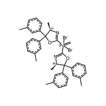 [CH2]=[Pd]([Br])([Br])([C]1=N[C@H](C)C(c2cccc(C)c2)(c2cccc(C)c2)O1)[C]1=N[C@H](C)C(c2cccc(C)c2)(c2cccc(C)c2)O1